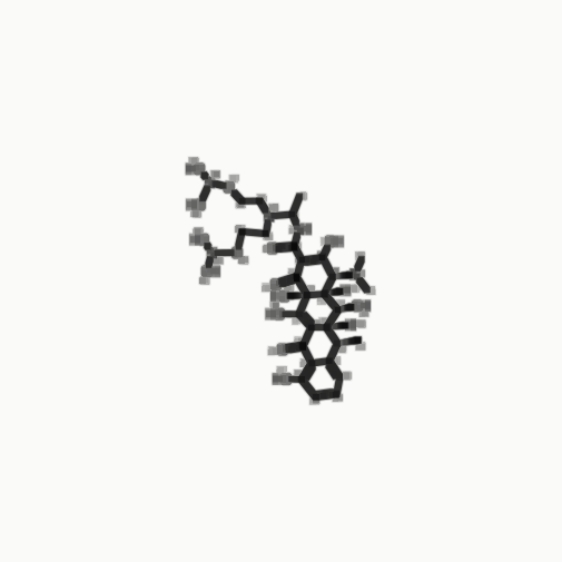 CC(NC(=O)C1=C(O)[C@@H](N(C)C)[C@@H]2[C@@H](O)[C@H]3C(=C(O)[C@]2(O)C1=O)C(=O)c1c(O)cccc1[C@@H]3C)N(CCON(O)O)CCON(O)O